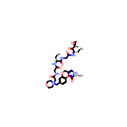 CCCCCCCC(=O)Oc1ccc(C[N+]2(CC(=O)NCC(=O)N[C@@H](CC(C)C)C(=O)NCC(=O)N[C@@H](CC(C)C)C(=O)[C@@]3(C)CO3)CCOCC2)cc1OCc1c[nH]nn1